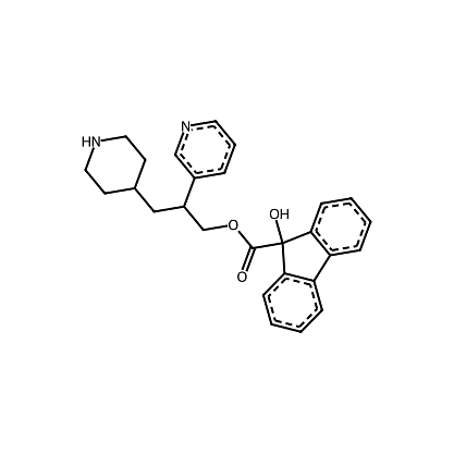 O=C(OCC(CC1CCNCC1)c1cccnc1)C1(O)c2ccccc2-c2ccccc21